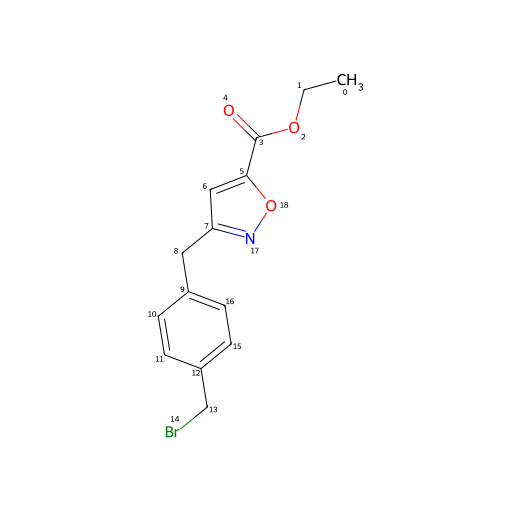 CCOC(=O)c1cc(Cc2ccc(CBr)cc2)no1